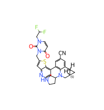 N#Cc1cc(-c2ccnc3cc(Cn4c(=O)ccn(CC(F)F)c4=O)sc23)c2c(c1)[C@@H]1C[C@@H]1CN2C1CCNC1